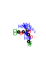 N=C(N)NCCCC(C(N)=O)n1c(-c2cccc(Oc3ccc(Cl)c(Cl)c3)c2)nc2cc(C(=O)NCc3cccc(C(F)(F)F)c3)ccc21